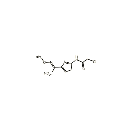 CCCO/N=C(\C(=O)O)c1csc(NC(=O)CCl)n1